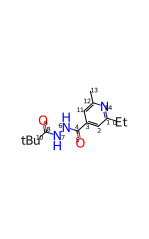 CCc1cc(C(=O)NNC(=O)C(C)(C)C)cc(C)n1